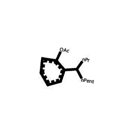 CCCCCC(CCC)c1ccccc1OC(C)=O